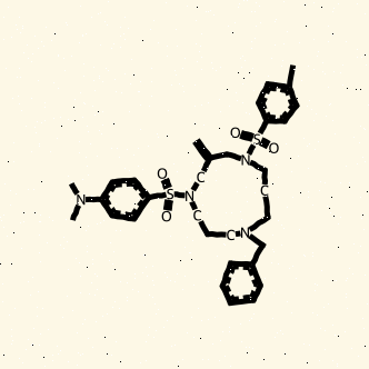 C=C1CN(S(=O)(=O)c2ccc(C)cc2)CCCN(Cc2ccccc2)CCCN(S(=O)(=O)c2ccc(N(C)C)cc2)C1